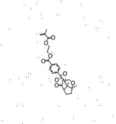 C=C(C)C(=O)OCCOC(=O)c1ccc(S(=O)(=O)N2COC3(C)CCC(C2=O)C3(C)C)cc1